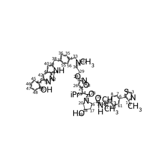 Cc1ncsc1-c1ccc(C(C)(C)NC(=O)[C@@H]2C[C@@H](O)CN2C(=O)C(c2cc(OCCN(C)Cc3ccc(Cc4cc5cc(-c6ccccc6O)nnc5[nH]4)cc3)no2)C(C)C)cc1